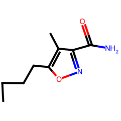 CCCCc1onc(C(N)=O)c1C